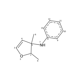 CC1OC=CC1(C)Nc1ccccc1